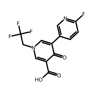 O=C(O)c1cn(CC(F)(F)F)cc(-c2ccc(F)nc2)c1=O